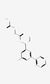 CCOC(=O)C[C@H](NC(=O)CNC(=O)OC(C)(C)C)c1cc(-c2cccnc2)cc(C(C)(C)C)c1